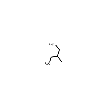 CCCC(C)CC(C)COC(C)=O